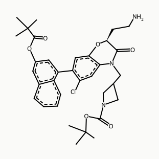 CC(C)(C)OC(=O)N1CC(CN2C(=O)[C@H](CCN)Oc3cc(-c4cc(OC(=O)C(C)(C)C)cc5ccccc45)c(Cl)cc32)C1